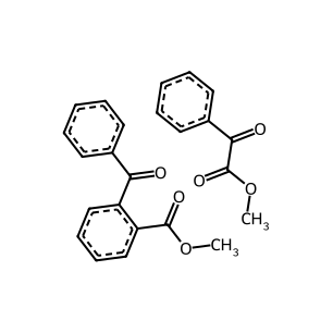 COC(=O)C(=O)c1ccccc1.COC(=O)c1ccccc1C(=O)c1ccccc1